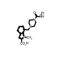 CCNC(=O)N1CCN(Cc2cccc3cc(C(=O)O)n(C)c23)CC1